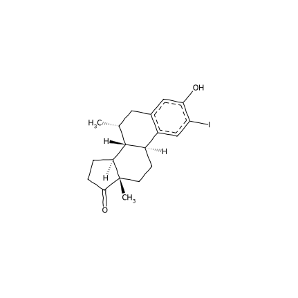 C[C@@H]1Cc2cc(O)c(I)cc2[C@H]2CC[C@]3(C)C(=O)CC[C@H]3[C@H]12